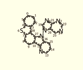 c1ccc2c(c1)sc1ccc3c4ncccc4n(-n4cnc5ncncc54)c3c12